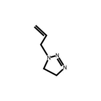 C=CCN1CCN=N1